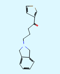 O=C(CCCN1Cc2ccccc2C1)c1ccsc1